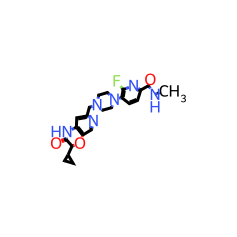 CNC(=O)c1ccc(N2CCN(Cc3cc4c(cn3)OC(C3CC3)C(=O)N4)CC2)c(F)n1